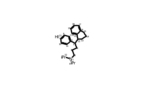 CC(C)N(CCCC(c1ccccc1)C1CCCc2ccccc21)C(C)C.I